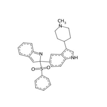 CN1CCC(c2c[nH]c3ccc(C4(S(=O)(=O)c5ccccc5)C=c5ccccc5=N4)cc23)CC1